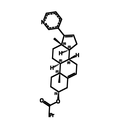 CC(C)C(=O)O[C@H]1CC[C@@]2(C)C(=CC[C@@H]3[C@@H]2CC[C@]2(C)C(c4cccnc4)=CC[C@@H]32)C1